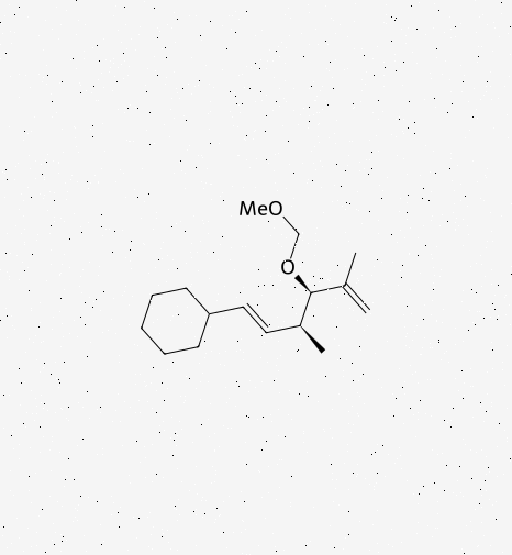 C=C(C)[C@H](OCOC)[C@@H](C)/C=C/C1CCCCC1